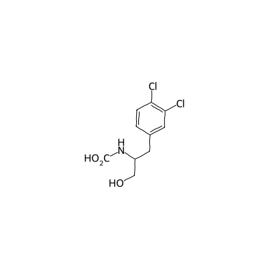 O=C(O)NC(CO)Cc1ccc(Cl)c(Cl)c1